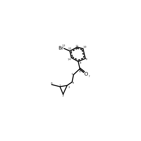 CC1CC1CCC(=O)c1cccc(Br)c1